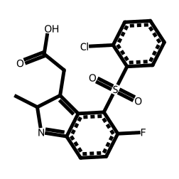 CC1N=c2ccc(F)c(S(=O)(=O)c3ccccc3Cl)c2=C1CC(=O)O